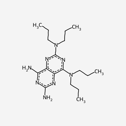 CCCN(CCC)c1nc(N(CCC)CCC)c2nc(N)nc(N)c2n1